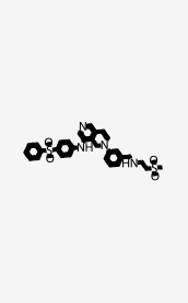 CS(=O)(=O)CCNCc1cccc(N2C=Cc3cncc(Nc4ccc(S(=O)(=O)c5ccccc5)cc4)c3C2)c1